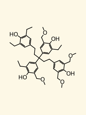 CCc1cc(CCC(CCc2cc(COC)c(O)c(COC)c2)(c2cc(CC)c(O)c(COC)c2)c2cc(CC)c(O)c(COC)c2)cc(CC)c1O